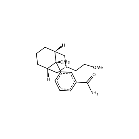 COCCN1C[C@H]2CCC[C@@H](C1)[C@@]2(OC)c1cccc(C(N)=O)c1